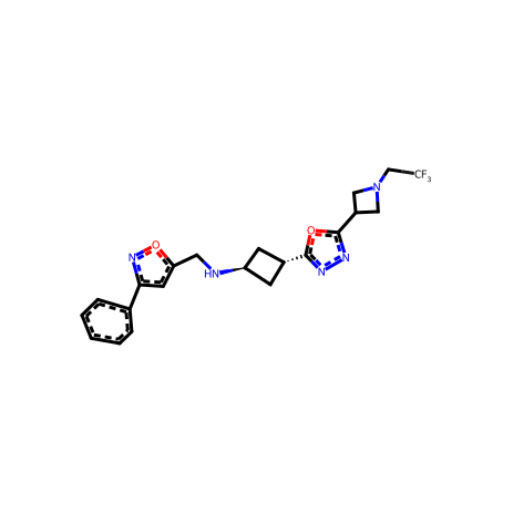 FC(F)(F)CN1CC(c2nnc([C@H]3C[C@H](NCc4cc(-c5ccccc5)no4)C3)o2)C1